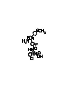 COC1CCC(c2cnc(N)c(-c3ccc(C(=O)N[C@@H](CNC(=O)O)c4cccc(Cl)c4)c(F)c3)n2)CC1